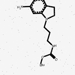 CC(C)(C)OC(=O)NCCCN1CCc2ccc(N)cc21